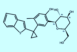 Cc1cc(O)c([C@@H]2O[C@H](CO)C[C@H](O)[C@H]2O)cc1C1(c2cc3ccccc3s2)CC1